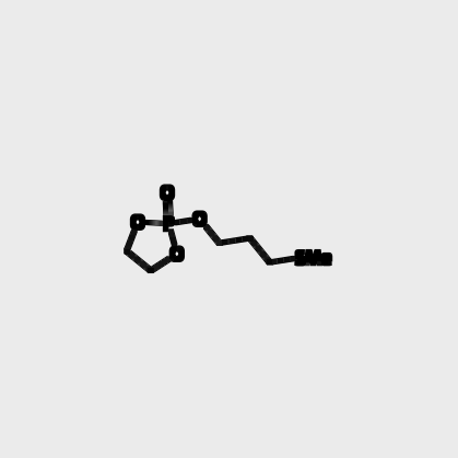 CSCCCOP1(=O)OCCO1